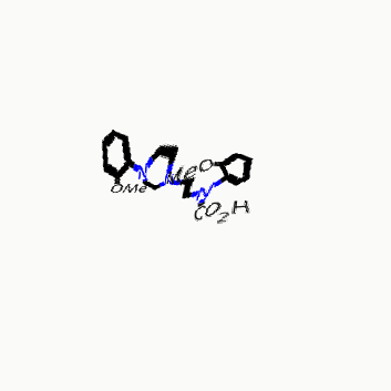 COc1ccccc1N1CCN(CCN(C(=O)O)c2ccccc2OC)CC1